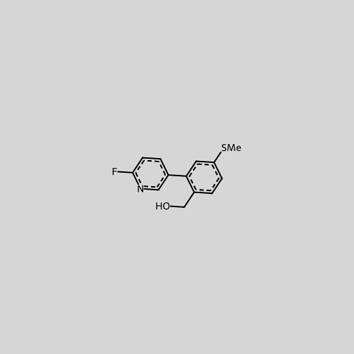 CSc1ccc(CO)c(-c2ccc(F)nc2)c1